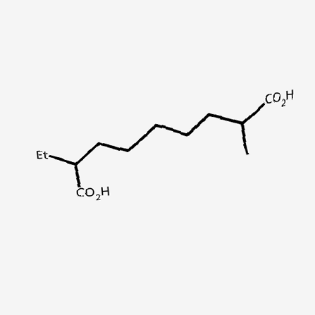 CCC(CCCCCC(C)C(=O)O)C(=O)O